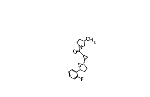 CC1CCN(C(=O)C2CC2C2CCC(c3ccccc3F)S2)C1